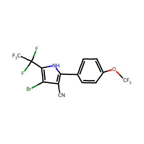 N#Cc1c(-c2ccc(OC(F)(F)F)cc2)[nH]c(C(F)(F)C(F)(F)F)c1Br